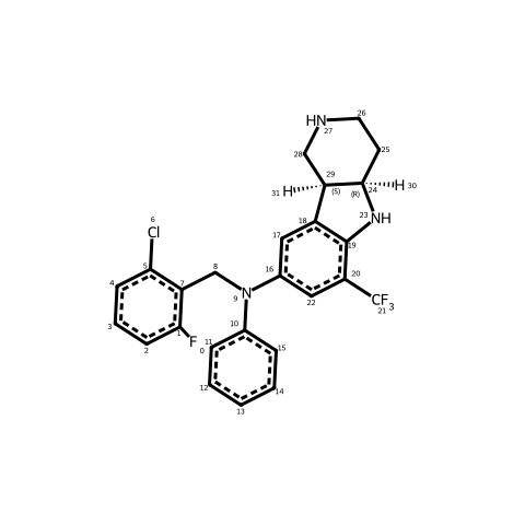 Fc1cccc(Cl)c1CN(c1ccccc1)c1cc2c(c(C(F)(F)F)c1)N[C@@H]1CCNC[C@H]21